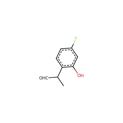 CC(C=O)c1ccc(F)cc1O